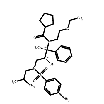 CCOCCN(C(=O)C1CCCC1)[C@@](C)(c1ccccc1)[C@H](O)CN(CC(C)C)S(=O)(=O)c1ccc(N)cc1